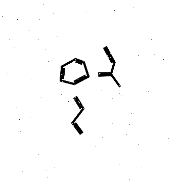 C=CC(=C)C.C=CC=C.c1ccccc1